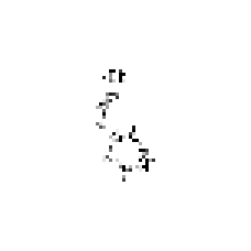 CCC#CCc1ccncc1